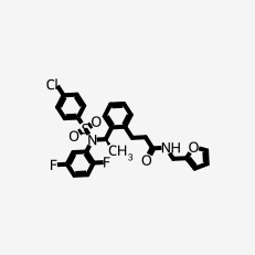 C[C@H](c1ccccc1CCC(=O)NCc1ccco1)N(c1cc(F)ccc1F)S(=O)(=O)c1ccc(Cl)cc1